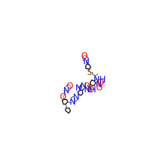 C[C@H](CCSc1ccc(N2CCOCC2)cc1)Nc1ccc(S(=O)(=O)Nc2ncnc3cc(N4CCN(Cc5cc(OCCN6CCOCC6)ccc5-c5ccccc5)CC4)ccc23)cc1[N+](=O)[O-]